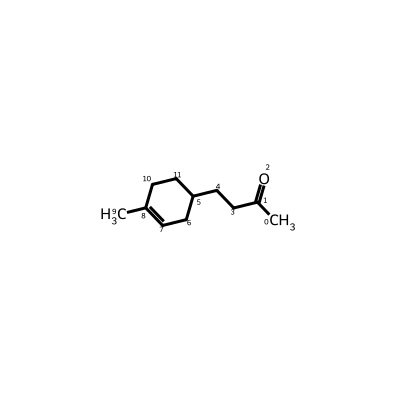 CC(=O)CCC1CC=C(C)CC1